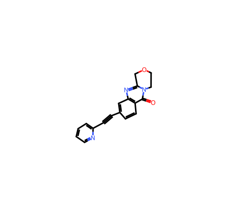 O=c1c2ccc(C#Cc3ccccn3)cc2nc2n1CCOC2